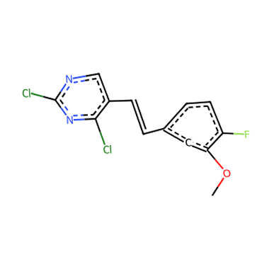 COc1cc(/C=C/c2cnc(Cl)nc2Cl)ccc1F